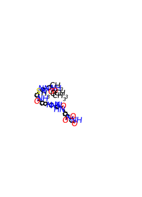 CC1(NC(=O)OC(C)(C)C)CCN(c2cnc(Sc3cccc(NC(=O)c4ccc5c(c4)CC(N4CCN(c6ccc(C(=O)NCc7ccc8c(c7)CN(C7CCC(=O)NC7=O)C8=O)nn6)CC4)C5)c3)cn2)CC1